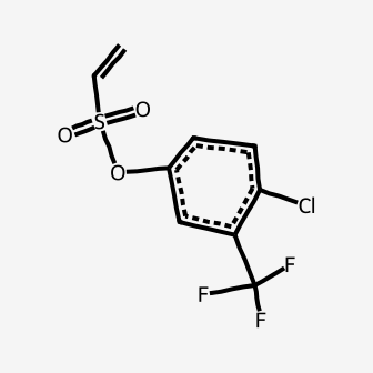 C=CS(=O)(=O)Oc1ccc(Cl)c(C(F)(F)F)c1